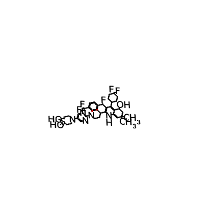 CC1(C)C=C2NC(C3CCN(c4ncc(N5CCS(O)(O)CC5)cn4)CC3)=C([C@@H](F)c3ccc(C(F)(F)F)cc3)C(C3CCC(F)(F)CC3)=C2[C@@H](O)C1